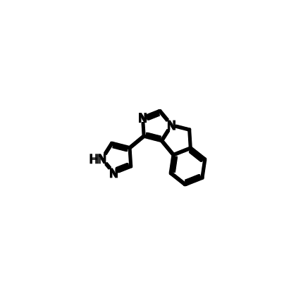 c1ccc2c(c1)Cn1cnc(-c3cn[nH]c3)c1-2